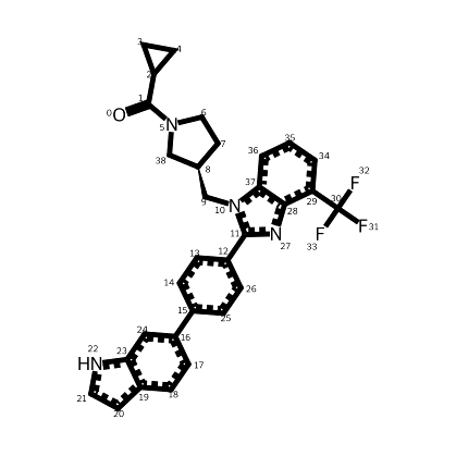 O=C(C1CC1)N1CC[C@@H](Cn2c(-c3ccc(-c4ccc5cc[nH]c5c4)cc3)nc3c(C(F)(F)F)cccc32)C1